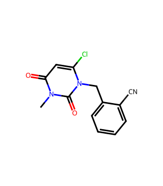 Cn1c(=O)cc(Cl)n(Cc2ccccc2C#N)c1=O